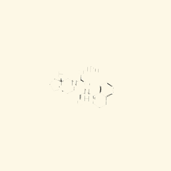 CC(C)(C)OC(=O)N1C[C@H]2CCCN2C[C@H]1C(=O)N[C@@H]1CCCc2ccccc21